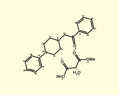 COC(=O)CC(=O)OC.O.O=C(CN1CCN(c2ccncc2)CC1)c1ccccc1